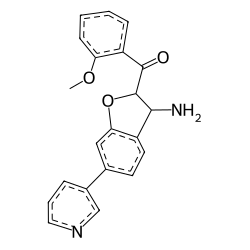 COc1ccccc1C(=O)C1Oc2cc(-c3cccnc3)ccc2C1N